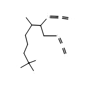 CC(CCCC(C)(C)C)C(CN=C=O)N=C=O